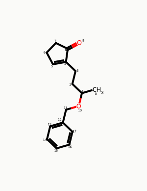 CC(CCC1=CCCC1=O)OCc1ccccc1